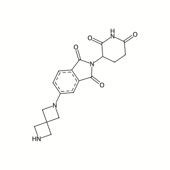 O=C1CCC(N2C(=O)c3ccc(N4CC5(CNC5)C4)cc3C2=O)C(=O)N1